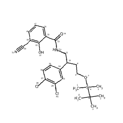 CC(C)(C)[Si](C)(C)OCCC(CNC(=O)c1cccc(C#N)c1O)c1ccc(Cl)c(Cl)c1